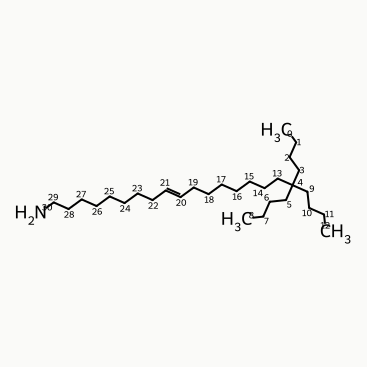 CCCCC(CCCC)(CCCC)CCCCCCCC=CCCCCCCCCN